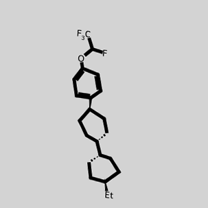 CC[C@H]1CC[C@H]([C@H]2CC[C@H](c3ccc(OC(F)C(F)(F)F)cc3)CC2)CC1